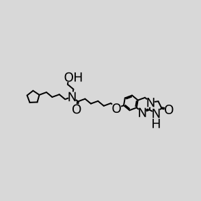 O=C1CN2Cc3ccc(OCCCCCC(=O)N(CCO)CCCCC4CCCC4)cc3N=C2N1